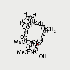 C=C1C[C@@H]2CC[C@@]3(O)C[C@H]4OC56C[C@@H]4C5O[C@H]4CC[C@H](CC(=O)C[C@@H]5[C@@H](OC)[C@@H](C[C@@H](CNC(=O)CCO)OC)O[C@H]5C[C@H]5O[C@H](CCC5=C)CC[C@@H]1O2)O[C@@H]4[C@@H]6O3